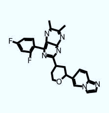 Cc1nc2nc(C3CCOC(c4ccc5nccn5c4)C3)nc(-c3ccc(F)cc3F)c2nc1C